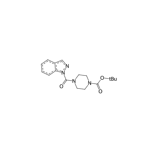 CC(C)(C)OC(=O)N1CCN(C(=O)n2ncc3ccccc32)CC1